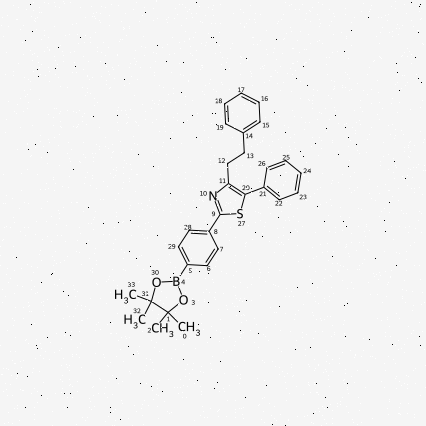 CC1(C)OB(c2ccc(-c3nc(CCc4ccccc4)c(-c4ccccc4)s3)cc2)OC1(C)C